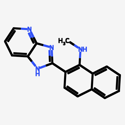 CNc1c(-c2nc3ncccc3[nH]2)ccc2ccccc12